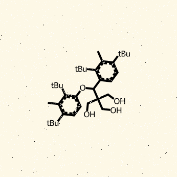 Cc1c(C(C)(C)C)ccc(OC(c2ccc(C(C)(C)C)c(C)c2C(C)(C)C)C(CO)(CO)CO)c1C(C)(C)C